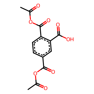 CC(=O)OC(=O)c1ccc(C(=O)OC(C)=O)c(C(=O)O)c1